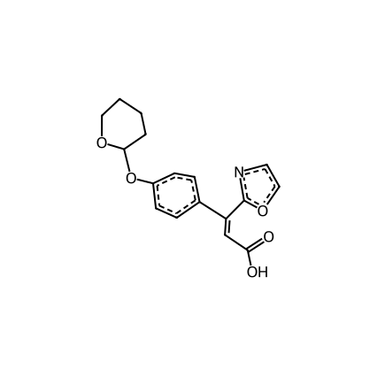 O=C(O)C=C(c1ccc(OC2CCCCO2)cc1)c1ncco1